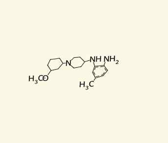 COC1CCCC(N2CCC(Nc3cc(C)ccc3N)CC2)C1